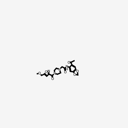 COCc1cc(C(=O)N2CCN(CC(=O)Nc3cc4c(cc3C(C)=O)OCO4)CC2)no1